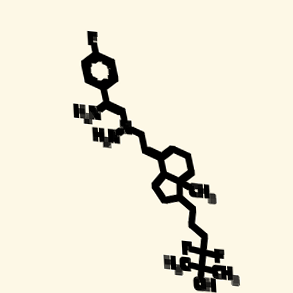 CC12CCC/C(=C\CN(N)/C=C(\N)c3ccc(F)cc3)C1CCC2CCCC(F)(F)C(C)(C)O